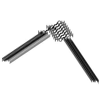 N.N.N.N.N.N.N.N.N.N.N.N.N.N.N.N.N.N.N.N.N.N.N.N.N.N.N.N.N.N.N.N.N.N.N.N.N.N.N.N.N.N.N.N.N.N.N.N.N.N.N.N.N.N.N.N.N.N.N.N.N.N.N.N.N.N.N.N.N.N.N.N.N.N.N.N.OCCCCO.OCCCCO.OCCCCO.OCCCCO.OCCCCO.OCCCCO.OCCCCO.OCCCCO